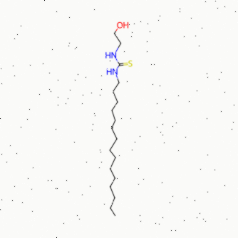 CCCCCCCCCCCCCCCNC(=S)NCCO